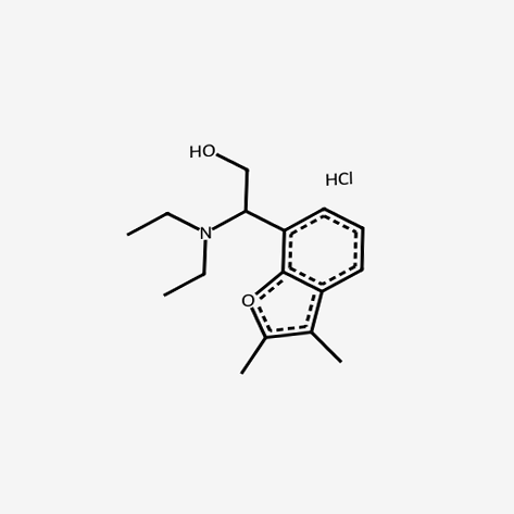 CCN(CC)C(CO)c1cccc2c(C)c(C)oc12.Cl